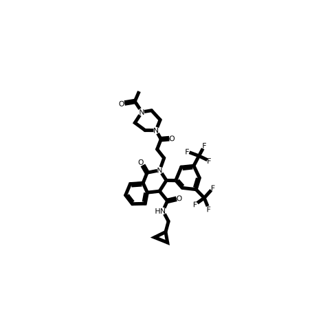 CC(=O)N1CCN(C(=O)CCN2C(=O)c3ccccc3C(C(=O)NCC3CC3)C2c2cc(C(F)(F)F)cc(C(F)(F)F)c2)CC1